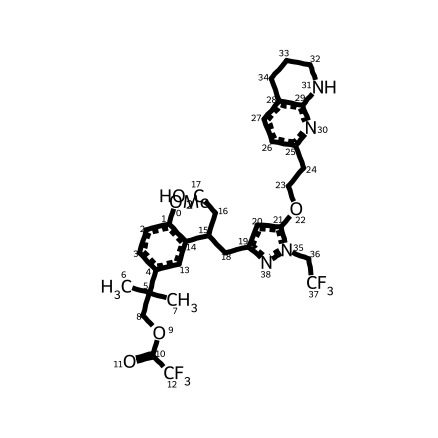 COc1ccc(C(C)(C)COC(=O)C(F)(F)F)cc1C(CC(=O)O)Cc1cc(OCCc2ccc3c(n2)NCCC3)n(CC(F)(F)F)n1